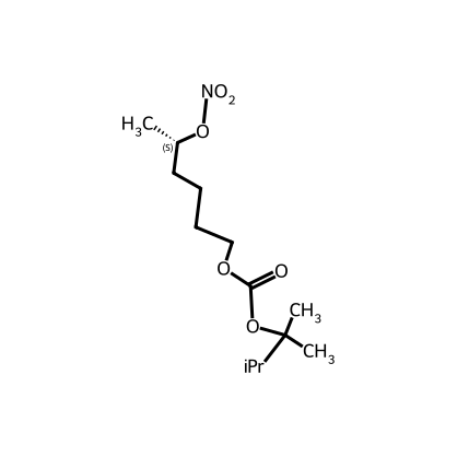 CC(C)C(C)(C)OC(=O)OCCCC[C@H](C)O[N+](=O)[O-]